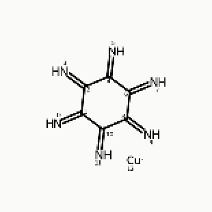 N=C1C(=N)C(=N)C(=N)C(=N)C1=N.[Cu]